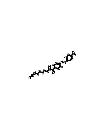 CN(C)c1ccc(/N=N/C2=CCC(C(=O)NCCCCCN=[N+]=[N-])C=C2)cc1